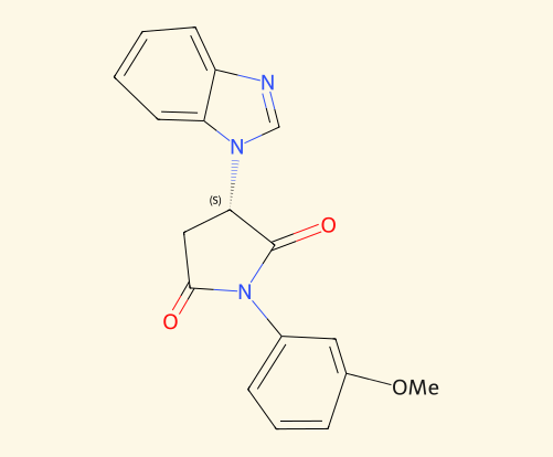 COc1cccc(N2C(=O)C[C@H](n3cnc4ccccc43)C2=O)c1